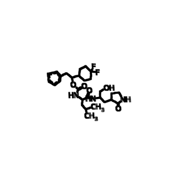 CC(C)CC(NC(=O)OC(Cc1ccccc1)C1CCC(F)(F)CC1)C(=O)NC(CO)CC1CCNC1=O